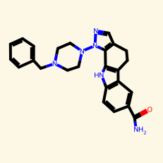 NC(=O)c1ccc2[nH]c3c(c2c1)CCc1cnn(N2CCN(Cc4ccccc4)CC2)c1-3